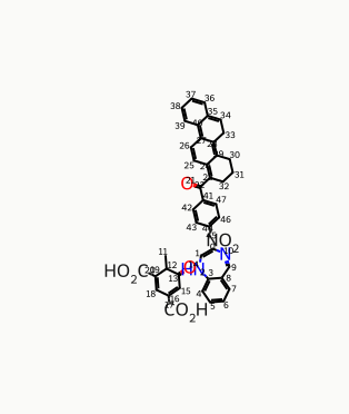 C1=CNc2ccccc2C=N1.CC1C(=O)C=C(C(=O)O)C=C1C(=O)O.O=C(C1=c2ccc3c(c2CCC1)CC=c1ccccc1=3)c1ccc([N+](=O)[O-])cc1